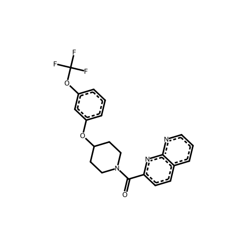 O=C(c1ccc2cccnc2n1)N1CCC(Oc2cccc(OC(F)(F)F)c2)CC1